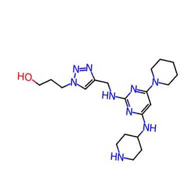 OCCCn1cc(CNc2nc(NC3CCNCC3)cc(N3CCCCC3)n2)nn1